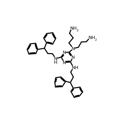 NCCCN(CCCN)c1nc(NCCC(c2ccccc2)c2ccccc2)nc(NCCC(c2ccccc2)c2ccccc2)n1